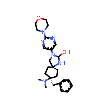 CN(C)[C@]1(Cc2ccccc2)CC[C@@]2(CC1)CN(c1cnc(N3CCOCC3)nc1)C(O)N2